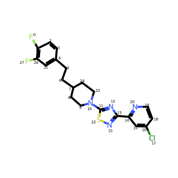 Fc1ccc(CCC2CCN(c3nc(-c4cc(Cl)ccn4)ns3)CC2)cc1F